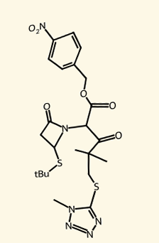 Cn1nnnc1SCC(C)(C)C(=O)C(C(=O)OCc1ccc([N+](=O)[O-])cc1)N1C(=O)CC1SC(C)(C)C